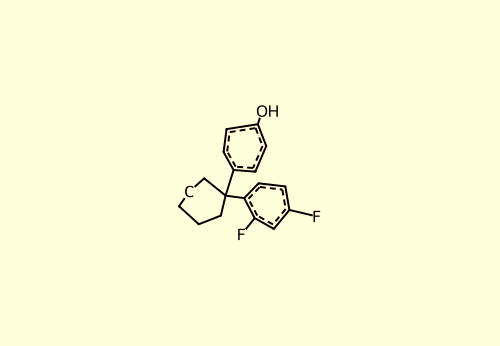 Oc1ccc(C2(c3ccc(F)cc3F)CCCCC2)cc1